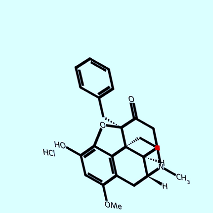 COc1cc(O)c2c3c1C[C@@H]1[C@@H]4CCC(=O)[C@](Cc5ccccc5)(O2)[C@]34CCN1C.Cl